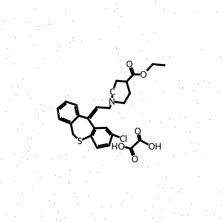 CCOC(=O)C1CCN(CC=C2c3ccccc3CSc3ccc(Cl)cc32)CC1.O=C(O)C(=O)O